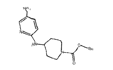 CC(C)(C)OC(=O)N1CCC(Nc2ccc(N)cn2)CC1